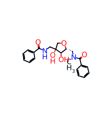 CN(C[C@H]1OC[C@@](O)(CNC(=O)c2ccccc2)[C@@H]1O)C(=O)c1ccccc1